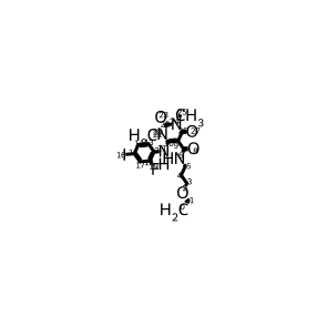 C=COCCCNC(=O)c1c(Nc2ccc(I)cc2F)n(C)c(=O)n(C)c1=O